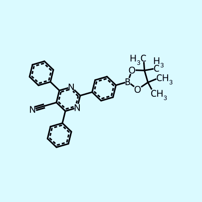 CC1(C)OB(c2ccc(-c3nc(-c4ccccc4)c(C#N)c(-c4ccccc4)n3)cc2)OC1(C)C